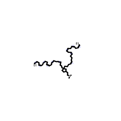 CC/C=C\C/C=C\C/C=C\C/C=C\C/C=C\C/C=C\CCCC1(CCC/C=C\CCC/C=C\C/C=C\C/C=C\C/C=C\CC)CCC(CCN(C)C)C1